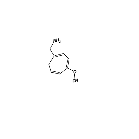 N#COC1=CC=C(CN)CC=C1